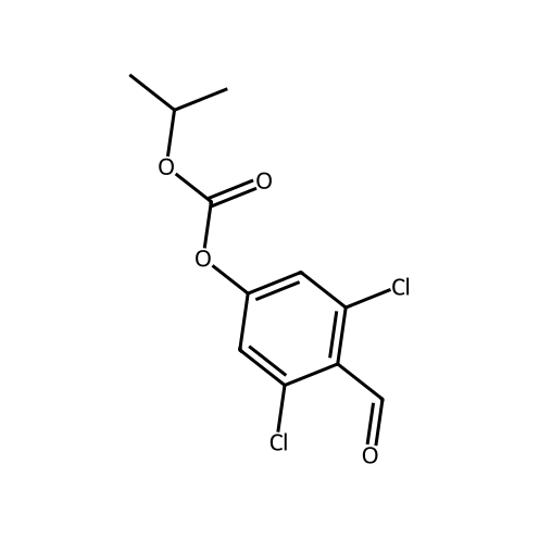 CC(C)OC(=O)Oc1cc(Cl)c(C=O)c(Cl)c1